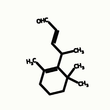 CC1=C(C(C)C=CC=O)C(C)(C)CCC1